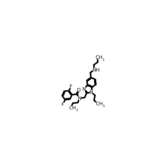 CCCNCc1ccc2c(c1)nc(CN(CCC)C(=O)c1cc(F)ccc1F)n2CCC